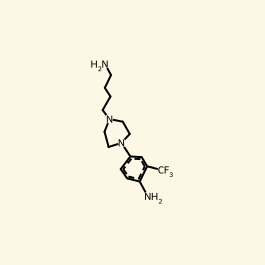 NCCCCN1CCN(c2ccc(N)c(C(F)(F)F)c2)CC1